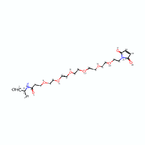 CC(C)[C@@H]([C]=O)NC(=O)CCOCCOCCOCCOCCOCCOCCN1C(=O)C=CC1=O